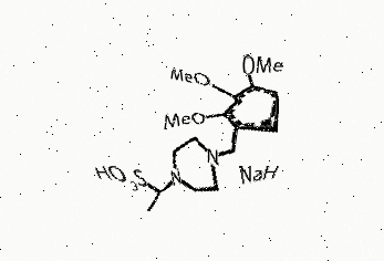 COc1ccc(CN2CCN(C(C)S(=O)(=O)O)CC2)c(OC)c1OC.[NaH]